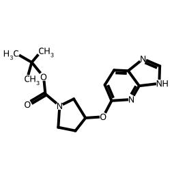 CC(C)(C)OC(=O)N1CCC(Oc2ccc3nc[nH]c3n2)C1